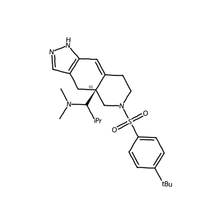 CC(C)C(N(C)C)[C@@]12Cc3cn[nH]c3C=C1CCN(S(=O)(=O)c1ccc(C(C)(C)C)cc1)C2